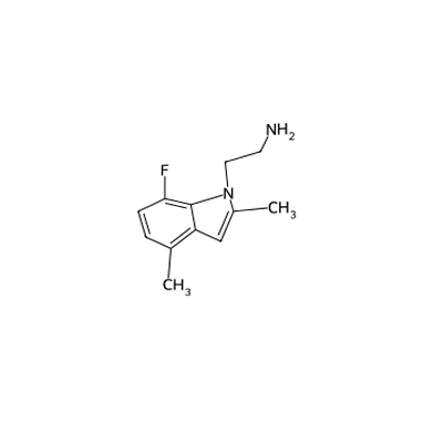 Cc1ccc(F)c2c1cc(C)n2CCN